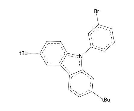 CC(C)(C)c1ccc2c(c1)c1ccc(C(C)(C)C)cc1n2-c1cccc(Br)c1